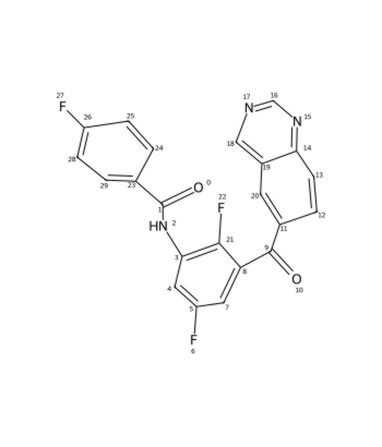 O=C(Nc1cc(F)cc(C(=O)c2ccc3ncncc3c2)c1F)c1ccc(F)cc1